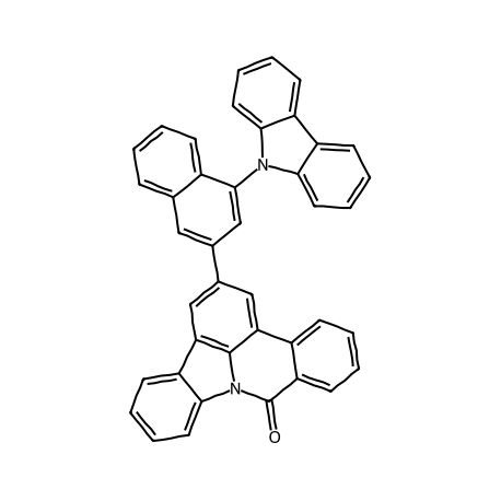 O=c1c2ccccc2c2cc(-c3cc(-n4c5ccccc5c5ccccc54)c4ccccc4c3)cc3c4ccccc4n1c23